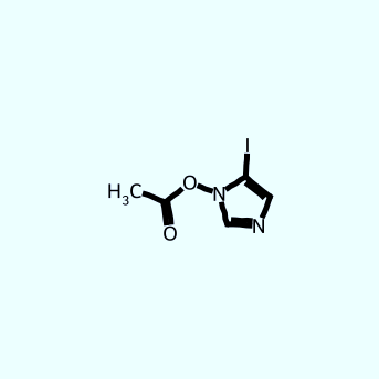 CC(=O)On1cncc1I